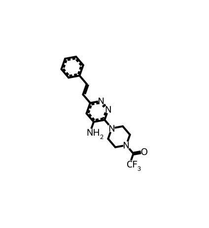 Nc1cc(C=Cc2ccccc2)nnc1N1CCN(C(=O)C(F)(F)F)CC1